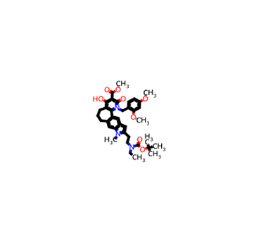 CCN(CCc1cc2cc3c(cc2n1C)CCCc1c(O)c(C(=O)OC)c(=O)n(Cc2ccc(OC)cc2OC)c1-3)C(=O)OC(C)(C)C